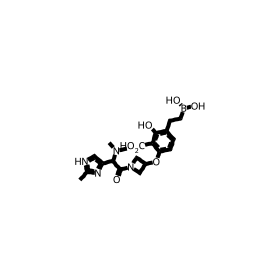 Cc1nc(C(C(=O)N2CC(Oc3ccc(CCB(O)O)c(O)c3C(=O)O)C2)N(C)C)c[nH]1